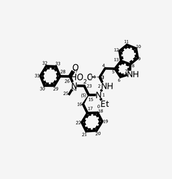 CCN(N[C@@H](Cc1c[nH]c2ccccc12)C(=O)O)[C@@H](Cc1ccccc1)CN(C)C(=O)c1ccccc1